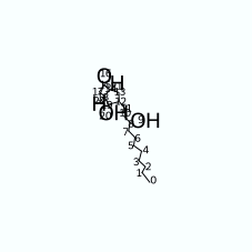 CCCCCCCCC(O)C=CC1C[C@@H]2C(=O)C[C@H]2C1O